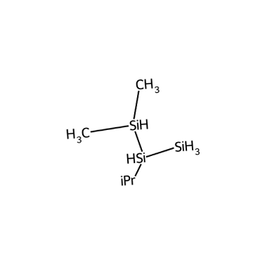 CC(C)[SiH]([SiH3])[SiH](C)C